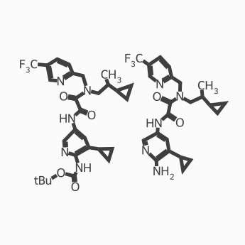 CC(CN(Cc1ccc(C(F)(F)F)cn1)C(=O)C(=O)Nc1cnc(N)c(C2CC2)c1)C1CC1.CC(CN(Cc1ccc(C(F)(F)F)cn1)C(=O)C(=O)Nc1cnc(NC(=O)OC(C)(C)C)c(C2CC2)c1)C1CC1